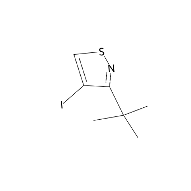 CC(C)(C)c1nscc1I